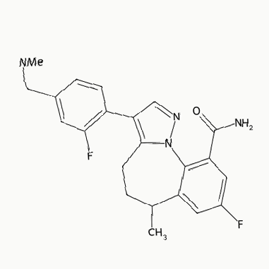 CNCc1ccc(-c2cnn3c2CCC(C)c2cc(F)cc(C(N)=O)c2-3)c(F)c1